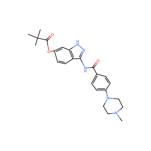 CN1CCN(c2ccc(C(=O)Nc3n[nH]c4cc(OC(=O)C(C)(C)C)ccc34)cc2)CC1